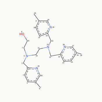 Cc1ccc(CN(CCO)CCN(Cc2ccc(C)cn2)Cc2ccc(C)cn2)nc1